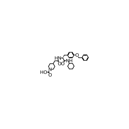 O=C(CC1CCN(C(=O)O)CC1)N[C@@H](Cc1ccc(OCc2ccccc2)cc1)C(=O)NC1CCCCC1